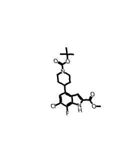 COC(=O)c1cc2c(C3CCN(C(=O)OC(C)(C)C)CC3)cc(Cl)c(F)c2[nH]1